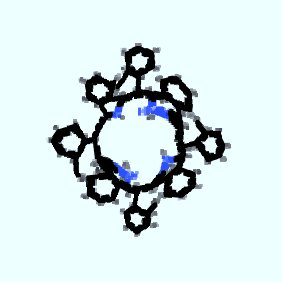 Cc1ccccc1-c1c2nc(c(-c3ccccc3C)c3[nH]c(c(-c4ccccc4C)c4nc(c(-c5ccccc5C)c5[nH]c1c1ccccc51)-c1ccccc1-4)c1ccccc31)-c1ccccc1-2